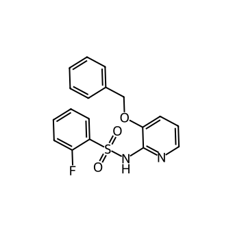 O=S(=O)(Nc1ncccc1OCc1ccccc1)c1ccccc1F